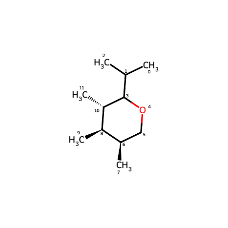 CC(C)C1OC[C@@H](C)[C@@H](C)[C@@H]1C